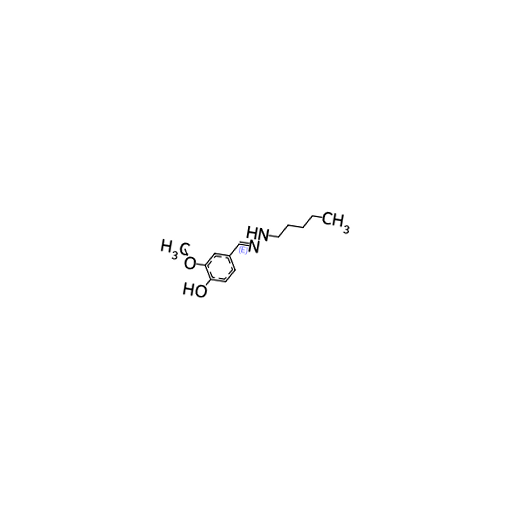 CCCCCN/N=C/c1ccc(O)c(OC)c1